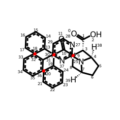 O=C(O)[C@@H]1[C@H]2CC[C@@H](CN1C(=O)N(c1ccccc1)c1ccccc1)N2c1nccc(-c2ccccc2)n1